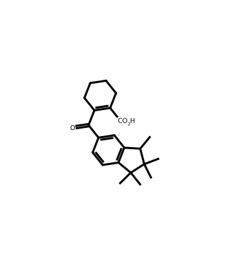 CC1c2cc(C(=O)C3=C(C(=O)O)CCCC3)ccc2C(C)(C)C1(C)C